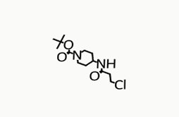 CC(C)(C)OC(=O)N1CCC(NC(=O)CCCl)CC1